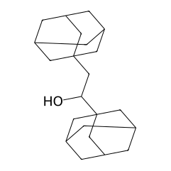 OC(CC12CC3CC(CC(C3)C1)C2)C12CC3CC(CC(C3)C1)C2